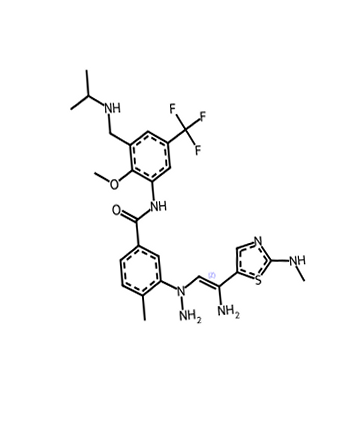 CNc1ncc(/C(N)=C/N(N)c2cc(C(=O)Nc3cc(C(F)(F)F)cc(CNC(C)C)c3OC)ccc2C)s1